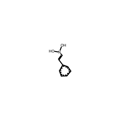 ON(O)/C=C/c1ccccc1